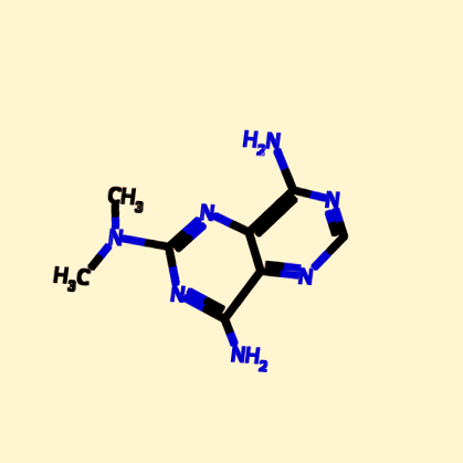 CN(C)c1nc(N)c2ncnc(N)c2n1